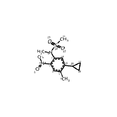 Cc1cc([N+](=O)[O-])c(N(C)S(C)(=O)=O)cc1C1CC1